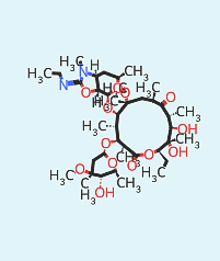 CCN=C1O[C@H]2[C@H](O[C@@H]3[C@@H](C)[C@H](O[C@H]4C[C@@](C)(OC)[C@@H](O)[C@H](C)O4)[C@@H](C)C(=O)O[C@H](CC)[C@@](C)(O)[C@H](O)[C@@H](C)C(=O)[C@H](C)C[C@@]3(C)OC)O[C@H](C)C[C@@H]2N1C